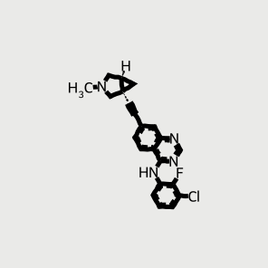 CN1C[C@H]2C[C@@]2(C#Cc2ccc3c(Nc4cccc(Cl)c4F)ncnc3c2)C1